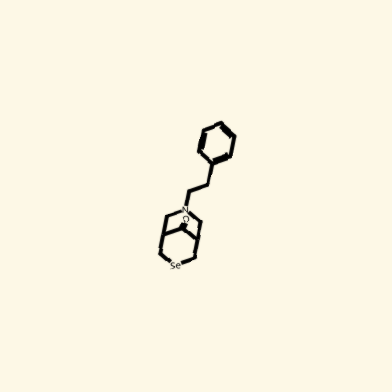 O=C1C2C[Se]CC1CN(CCc1ccccc1)C2